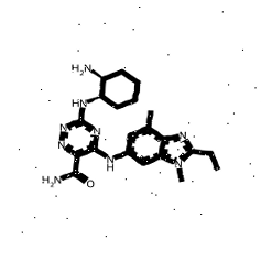 CCc1nc2c(C)cc(Nc3nc(N[C@@H]4CCCC[C@@H]4N)nnc3C(N)=O)cc2n1C